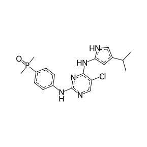 CC(C)c1c[nH]c(Nc2nc(Nc3ccc(P(C)(C)=O)cc3)ncc2Cl)c1